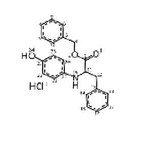 Cl.O=C(OCc1ccccc1)C(Cc1ccccc1)Nc1ccc(O)cc1